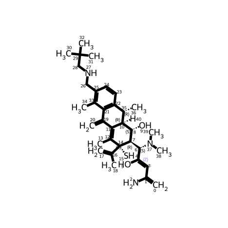 C=C(N)/C=C(\O)[C@H]([C@@H]1[C@@H](O)[C@H]2C(=C(C)[C@]1(S)C(=C)C)C(=C)c1c(ccc(CNCC(C)(C)C)c1C)[C@@H]2C)N(C)C